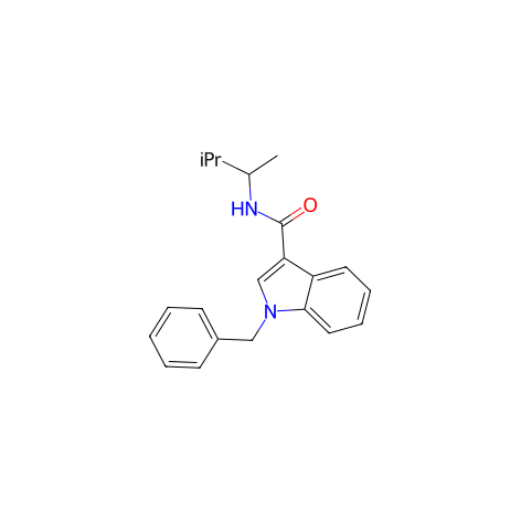 CC(C)C(C)NC(=O)c1cn(Cc2ccccc2)c2ccccc12